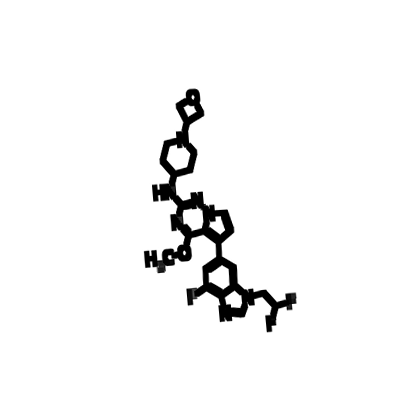 COc1nc(NC2CCN(C3COC3)CC2)nn2ccc(-c3cc(F)c4ncn(CC(F)F)c4c3)c12